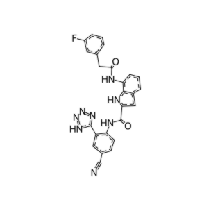 N#Cc1ccc(NC(=O)c2cc3cccc(NC(=O)Cc4cccc(F)c4)c3[nH]2)c(-c2nnn[nH]2)c1